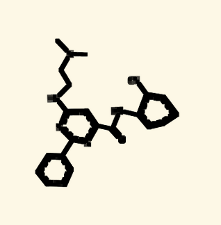 [C-]#[N+]c1ccccc1NC(=O)c1cc(NCCN(C)C)nc(-c2ccccc2)n1